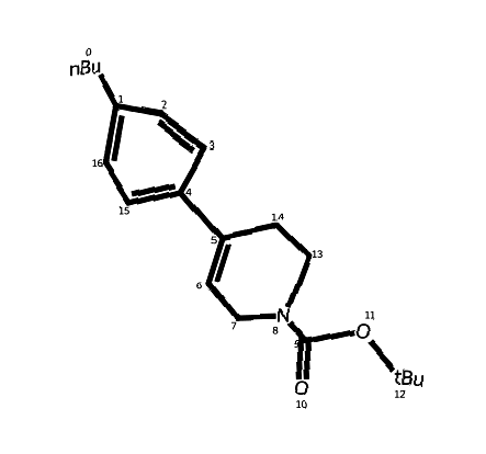 CCCCc1ccc(C2=CCN(C(=O)OC(C)(C)C)CC2)cc1